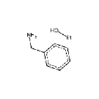 CCO.NCc1ccccc1